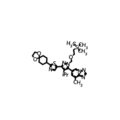 Cc1cc(-c2c(C(C)C)c(-c3cnc(C4CCC5(CC4)OCCO5)s3)nn2COCC[Si](C)(C)C)cn2ncnc12